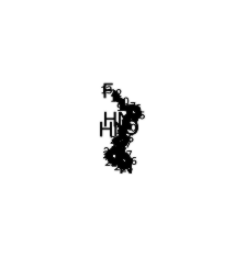 O=C(Nc1ccccc1CCCCF)NC1CCN(c2cccc3cnccc23)C1